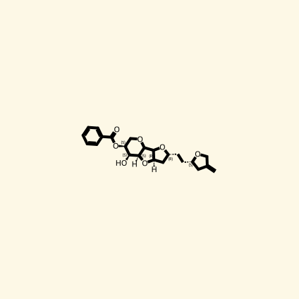 C=C1CO[C@@H](CC[C@@H]2C[C@H]3O[C@@H]4C(OC[C@H](OC(=O)c5ccccc5)[C@@H]4O)C3O2)C1